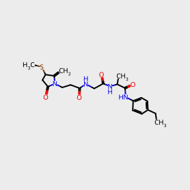 C=C1C(SC)CC(=O)N1CCC(=O)NCC(=O)NC(C)C(=O)Nc1ccc(CC)cc1